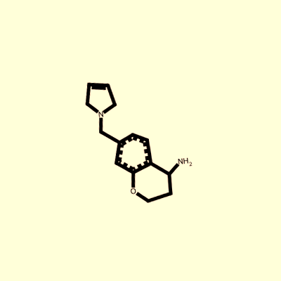 NC1CCOc2cc(CN3CC=CC3)ccc21